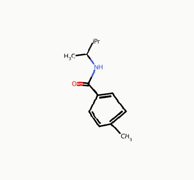 Cc1ccc(C(=O)NC(C)C(C)C)cc1